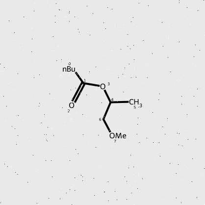 CCCCC(=O)OC(C)COC